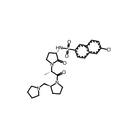 C[C@@H](C(=O)N1CCC[C@H]1CN1CCCC1)N1CC[C@H](NS(=O)(=O)c2ccc3cc(Cl)ccc3c2)C1=O